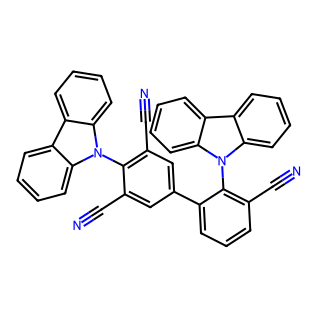 N#Cc1cc(-c2cccc(C#N)c2-n2c3ccccc3c3ccccc32)cc(C#N)c1-n1c2ccccc2c2ccccc21